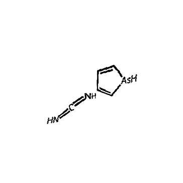 C1=C[AsH]C=C1.N=C=N